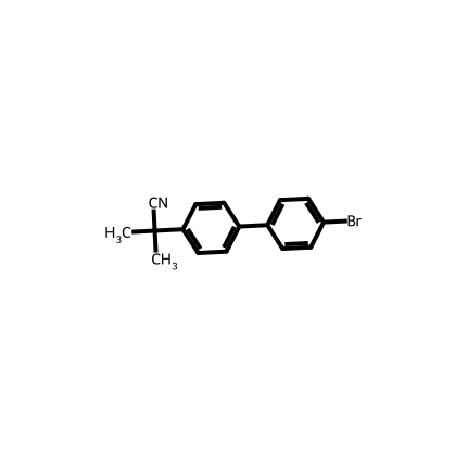 CC(C)(C#N)c1ccc(-c2ccc(Br)cc2)cc1